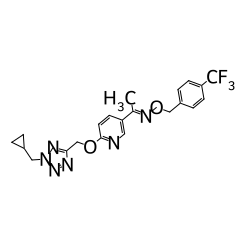 C/C(=N\OCc1ccc(C(F)(F)F)cc1)c1ccc(OCc2nnn(CC3CC3)n2)nc1